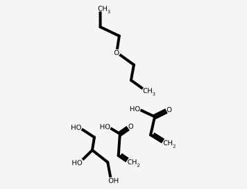 C=CC(=O)O.C=CC(=O)O.CCCOCCC.OCC(O)CO